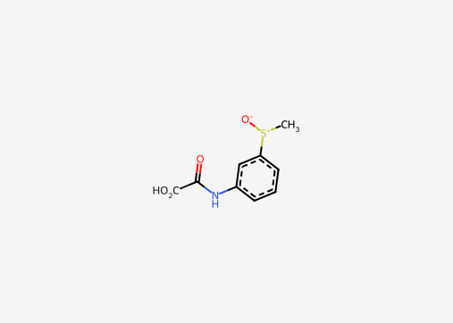 C[S+]([O-])c1cccc(NC(=O)C(=O)O)c1